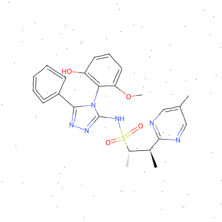 COc1cccc(O)c1-n1c(NS(=O)(=O)[C@@H](C)[C@H](C)c2ncc(C)cn2)nnc1C1=C=C=CC=C1